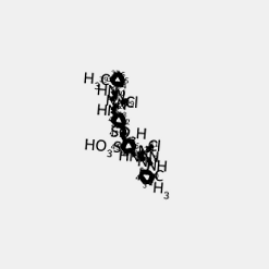 Cc1ccccc1Nc1nc(Cl)nc(Nc2ccc(C=Cc3ccc(Nc4nc(Cl)nc(Nc5ccccc5C)n4)cc3S(=O)(=O)O)c(S(=O)(=O)O)c2)n1